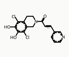 O=C(/C=C/c1cccnc1)N1CCc2c(Cl)c(O)c(O)c(Cl)c2C1